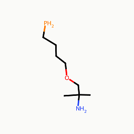 CC(C)(N)COCCCCP